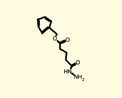 NNC(=O)CCCC(=O)OCc1ccccc1